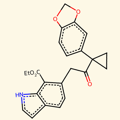 CCOC(=O)c1c(CC(=O)C2(c3ccc4c(c3)OCO4)CC2)ccc2cc[nH]c12